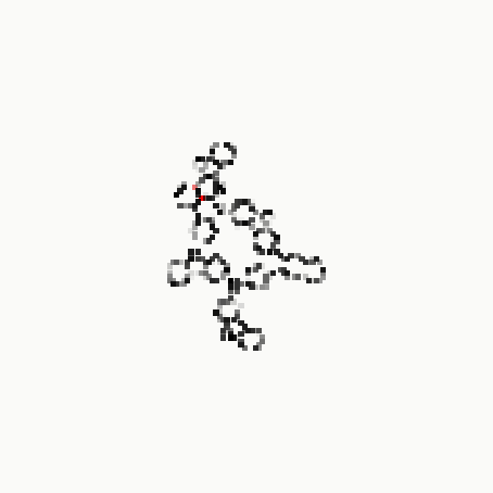 c1ccc(-c2ccccc2N(c2ccc3oc4ccccc4c3n2)c2ccc3oc4cc(-c5cc6ccccc6cc5-c5ccc(N(c6cnc7oc8ccccc8c7c6)c6cnc7oc8ccccc8c7c6)cc5)ccc4c3n2)cc1